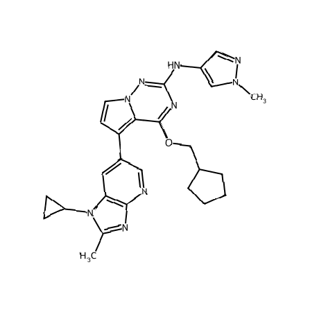 Cc1nc2ncc(-c3ccn4nc(Nc5cnn(C)c5)nc(OCC5CCCC5)c34)cc2n1C1CC1